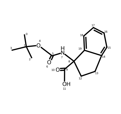 CC(C)(C)OC(=O)NC1(C(=O)O)CCc2ccccc21